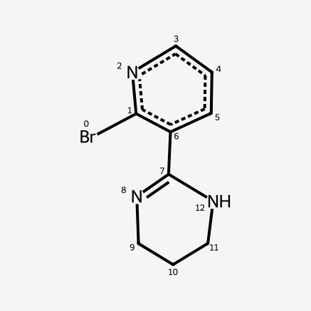 Brc1ncccc1C1=NCCCN1